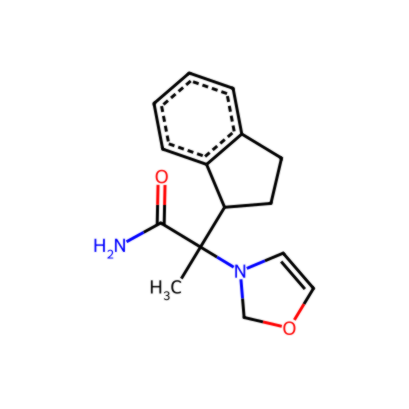 CC(C(N)=O)(C1CCc2ccccc21)N1C=COC1